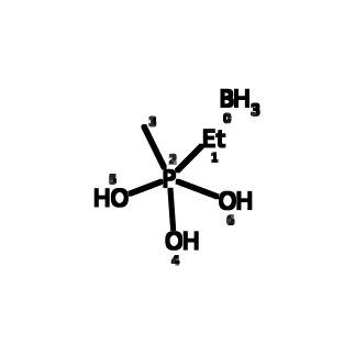 B.CCP(C)(O)(O)O